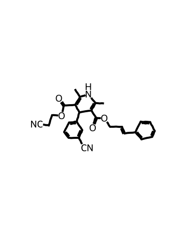 CC1=C(C(=O)OCC=Cc2ccccc2)C(c2cccc(C#N)c2)C(C(=O)OCCC#N)=C(C)N1